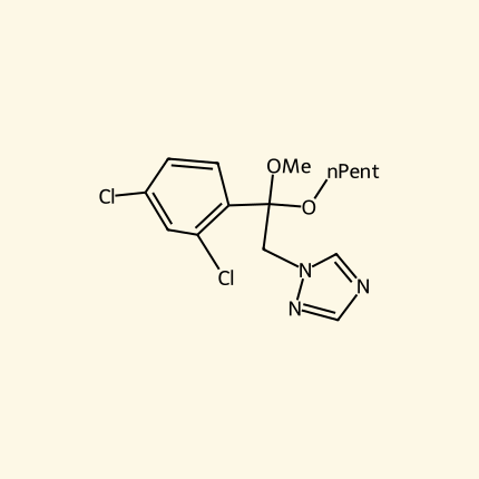 CCCCCOC(Cn1cncn1)(OC)c1ccc(Cl)cc1Cl